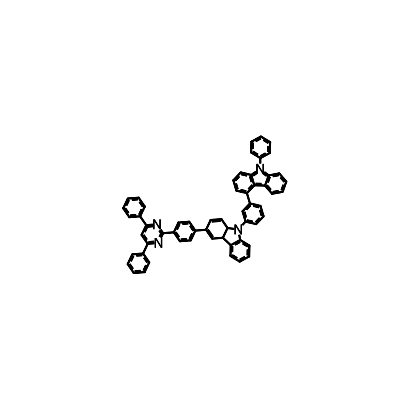 C1=CC2C(C=C1c1ccc(-c3nc(-c4ccccc4)cc(-c4ccccc4)n3)cc1)c1ccccc1N2c1cccc(-c2cccc3c2c2ccccc2n3-c2ccccc2)c1